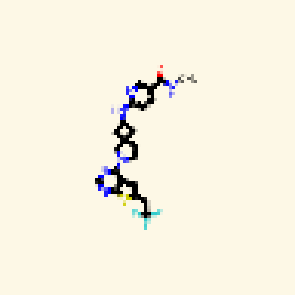 CNC(=O)c1ccc(NC2CC3(CCN(c4ncnc5sc(CC(F)(F)F)cc45)C3)C2)nc1